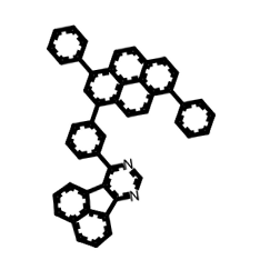 c1ccc(-c2ccc3ccc4c(-c5ccccc5)cc(-c5cccc(-c6ncnc7c6-c6cccc8cccc-7c68)c5)c5ccc2c3c45)cc1